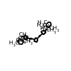 CC(ON1C(C)(C)CCCC1(C)C)c1ccc(C#Cc2cccc(C#Cc3ccc(C(C)ON4C(C)(C)CCCC4(C)C)cc3)c2)cc1